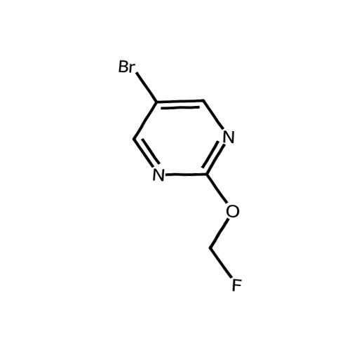 FCOc1ncc(Br)cn1